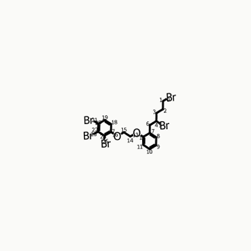 BrCCCC(Br)Cc1ccccc1OCCOc1ccc(Br)c(Br)c1Br